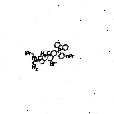 CCCc1cccc([P+](c2ccccc2)(c2ccccc2)C2CC[C@@]3(C)C(CCC4C3CC[C@@]3(C)C4CC[C@@H]3[C@H](C)CCCC(C)C)C2)c1.[Br-]